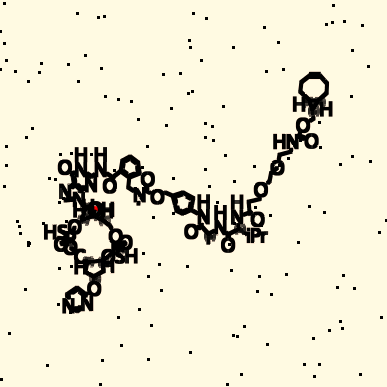 CC(C)[C@H](NC(=O)CCOCCOCCNC(=O)OC[C@@H]1[C@@H]2CCC#CCC[C@@H]21)C(=O)N[C@@H](C)C(=O)Nc1ccc(COC(=O)N(C)Cc2ccccc2C(=O)Nc2nc3c(ncn3[C@@H]3O[C@@H]4CO[P@@](=O)(S)O[C@H]5C[C@H](Oc6ccncn6)C[C@@H]5CO[P@@](=O)(S)O[C@@H]3[C@@H]4O)c(=O)[nH]2)cc1